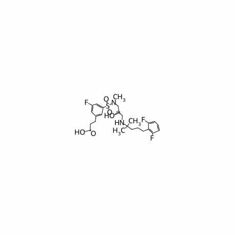 CN(C[C@H](O)CNC(C)(C)CCCc1c(F)cccc1F)S(=O)(=O)c1cc(F)cc(CCC(=O)O)c1